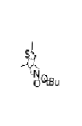 CC1c2sc(I)cc2C2CN(C(=O)OC(C)(C)C)CC12